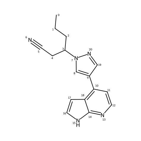 CCCC(CC#N)n1cc(-c2ccnc3[nH]ccc23)cn1